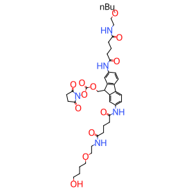 CCCCOCCNC(=O)CCCC(=O)Nc1ccc2c(c1)C(COC(=O)ON1C(=O)CCC1=O)c1cc(NC(=O)CCCC(=O)NCCOCCCCO)ccc1-2